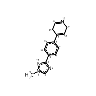 Cn1cnc(-c2ccc(C3=CCN=CC3)cc2)n1